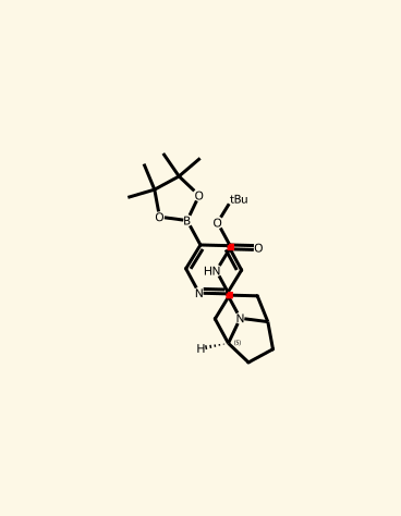 CC(C)(C)OC(=O)NC1CC2CC[C@@H](C1)N2c1ccc(B2OC(C)(C)C(C)(C)O2)cn1